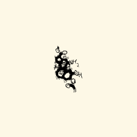 COC(=O)C1CC[C@H]2[C@@H]3CCC4CC(OC(C)=O)C(O)C[C@]4(C)[C@@H]3C(N)C[C@]12C